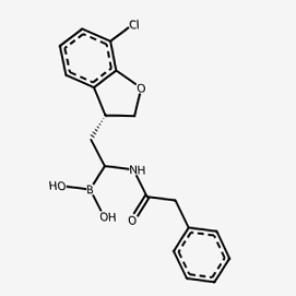 O=C(Cc1ccccc1)NC(C[C@H]1COc2c(Cl)cccc21)B(O)O